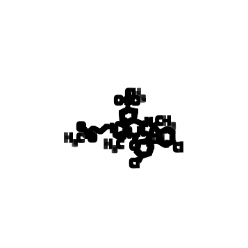 CCOc1ccc(S(C)(=O)=O)cc1C1=N[C@@](C)(c2ccc(Cl)cc2)[C@@](C)(c2ccc(Cl)cc2)N1C(=O)N1CCN(CCCS(C)(=O)=O)CC1